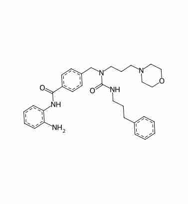 Nc1ccccc1NC(=O)c1ccc(CN(CCCN2CCOCC2)C(=O)NCCCc2ccccc2)cc1